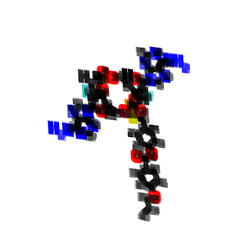 B[P@]1(=O)OC[C@H]2O[C@@H](n3cnc4c(N)ncnc43)[C@H](F)[C@@H]2O[P@](=O)(SCc2ccc(OC(=O)c3ccc(OCCC)cc3)cc2)OC[C@H]2O[C@@H](n3cnc4c(N)ncnc43)[C@H](F)[C@@H]2O1